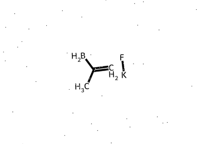 BC(=C)C.[F][K]